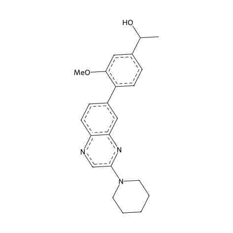 COc1cc(C(C)O)ccc1-c1ccc2ncc(N3CCCCC3)nc2c1